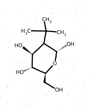 CC(C)(C)C1[C@H](O)O[C@@H](CO)[C@H](O)[C@H]1O